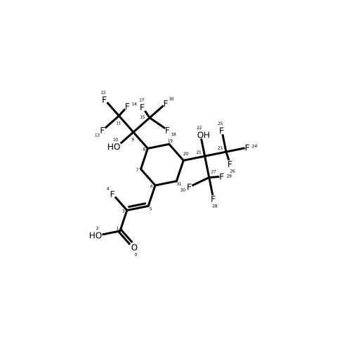 O=C(O)C(F)=CC1CC(C(O)(C(F)(F)F)C(F)(F)F)CC(C(O)(C(F)(F)F)C(F)(F)F)C1